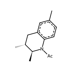 CC(=O)N1c2ccc(C)cc2C[C@@H](C)[C@@H]1C